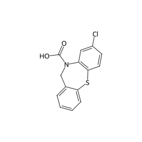 O=C(O)N1Cc2ccccc2Sc2ccc(Cl)cc21